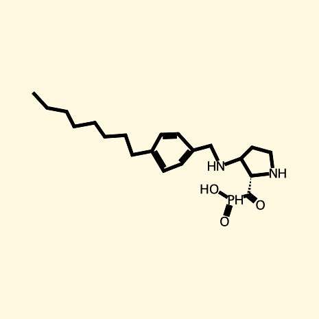 CCCCCCCCc1ccc(CNC2CCN[C@@H]2C(=O)[PH](=O)O)cc1